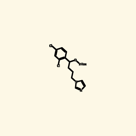 CCCCCCOC(CCCn1ccnc1)c1ccc(Cl)cc1Cl